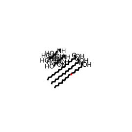 CCCCCCCCCCCCCCCCCC(=O)O.CCCCCCCCCCCCCCCCCC(=O)O.CCCCCCCCCCCCCCCCCC(=O)O.CNC[C@H](O)[C@@H](O)[C@H](O)[C@H](O)CO.CNC[C@H](O)[C@@H](O)[C@H](O)[C@H](O)CO